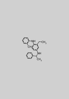 CCc1cc(NC(C)c2ccccc2)ccc1Nc1ccccc1C